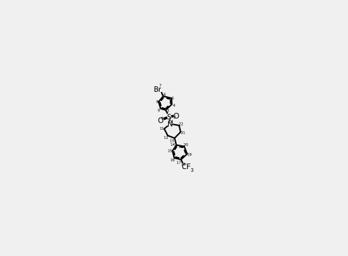 O=S(=O)(c1ccc(Br)cc1)N1CCC(c2ccc(C(F)(F)F)cc2)CC1